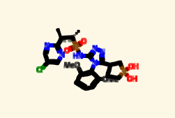 COc1cccc(OC)c1-n1c(NS(=O)(=O)[C@@H](C)[C@H](C)c2ncc(Cl)cn2)nnc1C1CCS(O)(O)C1